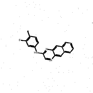 Cc1ccc(Nc2cnc3cc4ccccc4cc3n2)cc1F